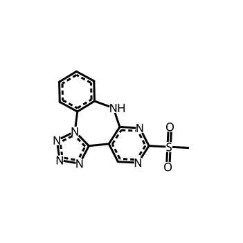 CS(=O)(=O)c1ncc2c(n1)Nc1ccccc1-n1nnnc1-2